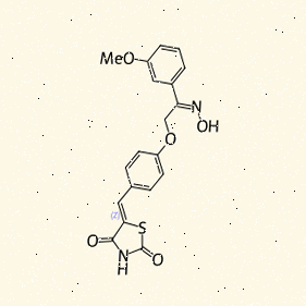 COc1cccc(C(COc2ccc(/C=C3\SC(=O)NC3=O)cc2)=NO)c1